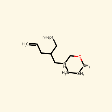 C=CCC(CCCCCCCC)C[SiH]1CO[SiH2][SiH2][SiH2]1